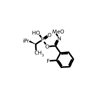 CON=C(OP(=O)(O)[C@@H](C)C(C)C)c1ccccc1F